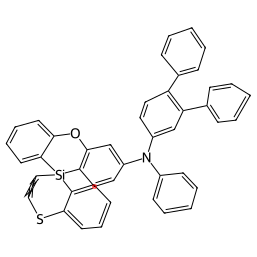 c1ccc(-c2ccc(N(c3ccccc3)c3ccc4c(c3)Oc3ccccc3[Si]43c4ccccc4Sc4ccccc43)cc2-c2ccccc2)cc1